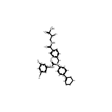 O=C(NCC(F)C(=O)O)c1ccc(CN(C(=O)Nc2cc(F)cc(F)c2)c2ccc(C3=CCCCC3)cc2)cc1